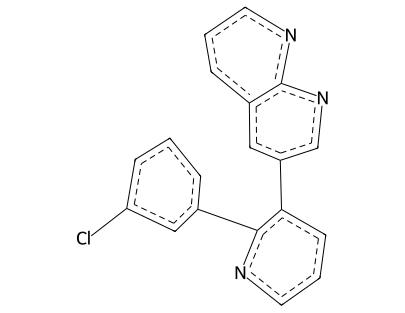 Clc1cccc(-c2ncccc2-c2cnc3ncccc3c2)c1